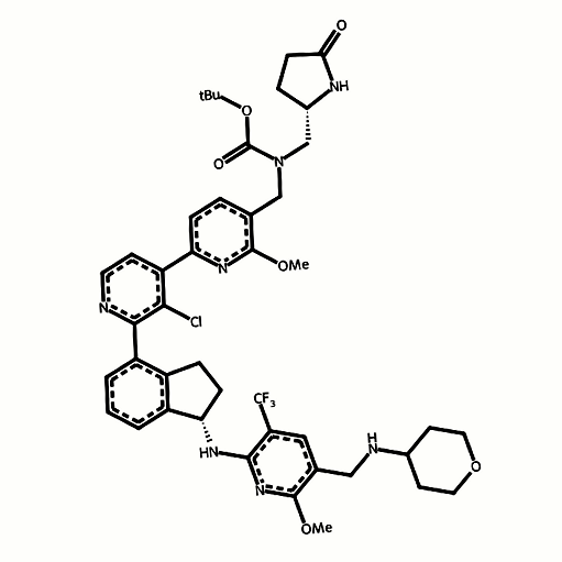 COc1nc(-c2ccnc(-c3cccc4c3CC[C@@H]4Nc3nc(OC)c(CNC4CCOCC4)cc3C(F)(F)F)c2Cl)ccc1CN(C[C@@H]1CCC(=O)N1)C(=O)OC(C)(C)C